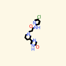 O=C(CCN1CCCC(c2c[nH]c(=O)cn2)C1)Nc1ccc(Cl)cn1